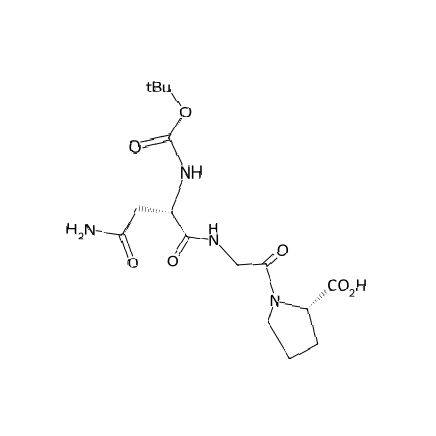 CC(C)(C)OC(=O)N[C@@H](CC(N)=O)C(=O)NCC(=O)N1CCC[C@H]1C(=O)O